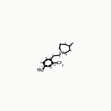 CC1CCCN(CCc2ccc(C(C)(C)C)cc2C(F)(F)F)CC1